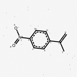 C=C(C)c1ccc([N+](=O)[O-])cc1